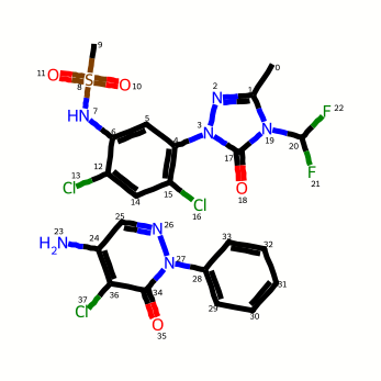 Cc1nn(-c2cc(NS(C)(=O)=O)c(Cl)cc2Cl)c(=O)n1C(F)F.Nc1cnn(-c2ccccc2)c(=O)c1Cl